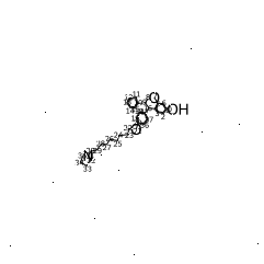 Oc1ccc2c(c1)OC[C@H](c1ccccc1)[C@@H]2c1ccc(OCCCCCCCCCN2CCCC2)cc1